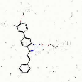 COCOc1ccc(-c2ccc3c(/C=C/c4ccccc4)nn(COCC[Si](C)(C)C)c3c2)cc1OC